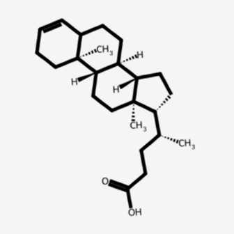 C[C@H](CCC(=O)O)[C@H]1CC[C@H]2[C@@H]3CCC4C=CCC[C@]4(C)[C@H]3CC[C@]12C